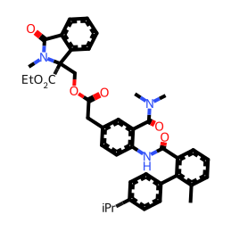 CCOC(=O)C1(COC(=O)Cc2ccc(NC(=O)c3cccc(C)c3-c3ccc(C(C)C)cc3)c(C(=O)N(C)C)c2)c2ccccc2C(=O)N1C